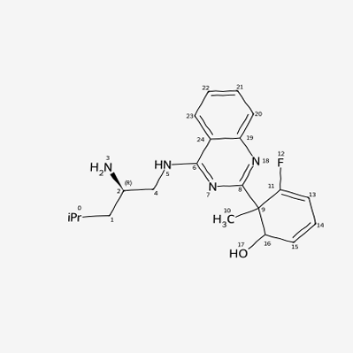 CC(C)C[C@@H](N)CNc1nc(C2(C)C(F)=CC=CC2O)nc2ccccc12